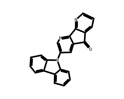 O=C1c2cccnc2-c2ncc(-n3c4ccccc4c4ccccc43)cc21